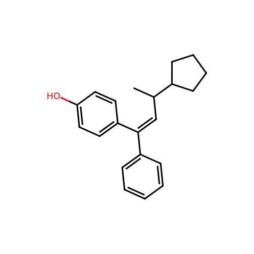 CC(C=C(c1ccccc1)c1ccc(O)cc1)C1CCCC1